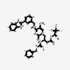 Cc1cn(CC(CC(=O)OC(=O)C(F)(F)F)NC(=O)OCc2ccccc2)c(=O)nc1NCc1cccc(-c2nc3ccccc3[nH]2)c1